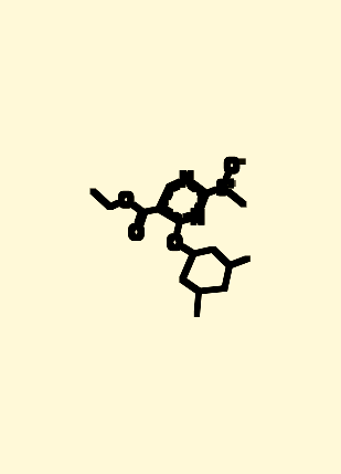 CCOC(=O)c1cnc([S+](C)[O-])nc1OC1CC(C)CC(C)C1